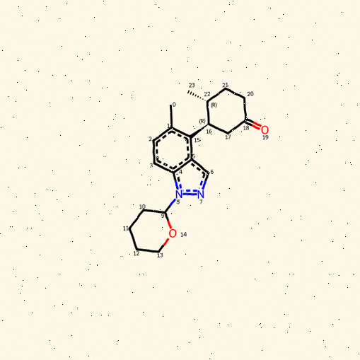 Cc1ccc2c(cnn2C2CCCCO2)c1[C@@H]1CC(=O)CC[C@H]1C